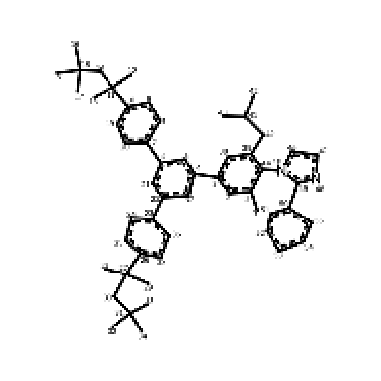 Cc1cc(-c2cc(-c3ccc(C(C)(C)CC(C)(C)C)cc3)cc(-c3ccc(C(C)(C)CC(C)(C)C)cc3)c2)cc(CC(C)C)c1-n1ccnc1-c1ccccc1